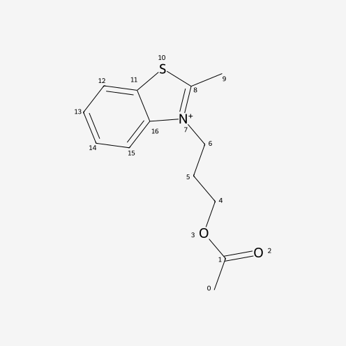 CC(=O)OCCC[n+]1c(C)sc2ccccc21